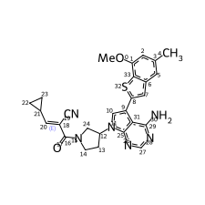 COc1cc(C)cc2cc(-c3cn(C4CCN(C(=O)/C(C#N)=C/C5CC5)C4)c4ncnc(N)c34)sc12